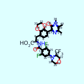 Cc1nc(-c2ccc(C[C@H](NC(=O)c3c(F)cc(N4CCOC[C@@H]4C(F)(F)F)cc3F)C(=O)O)c3c2OCCO3)c(=O)n(C)c1C